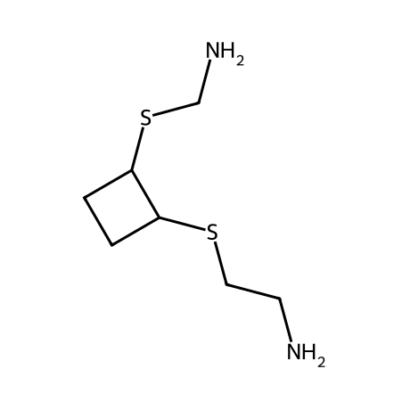 NCCSC1CCC1SCN